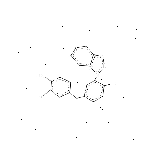 N#Cc1ccc(Cc2ccc(C=O)c(Br)c2)cc1-n1nnc2ccccc21